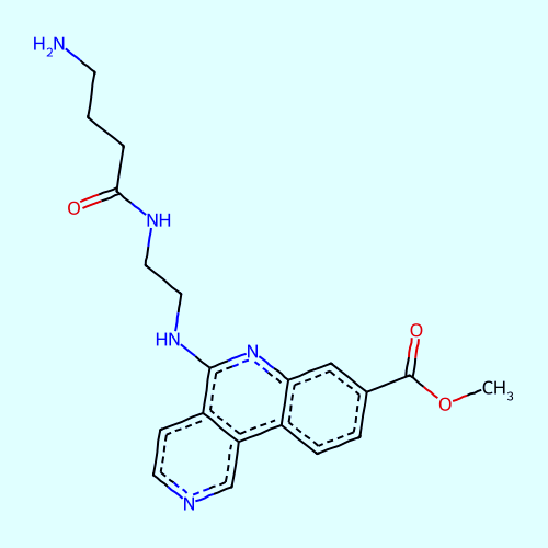 COC(=O)c1ccc2c(c1)nc(NCCNC(=O)CCCN)c1ccncc12